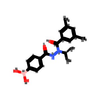 CCC[C@@H](N(NC(=O)c1ccc(B(O)O)cc1)C(=O)c1cc(C)cc(C)c1)C(C)(C)C